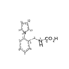 O=C(O)NCc1ccccc1-n1cccc1